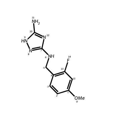 COc1ccc(CNc2n[nH]c(N)n2)c(F)c1